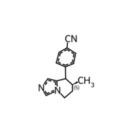 C[C@H]1CCn2cncc2C1c1ccc(C#N)cc1